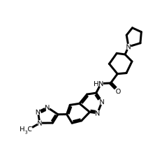 Cn1cc(-c2ccc3nnc(NC(=O)C4CCC(N5CCCC5)CC4)cc3c2)nn1